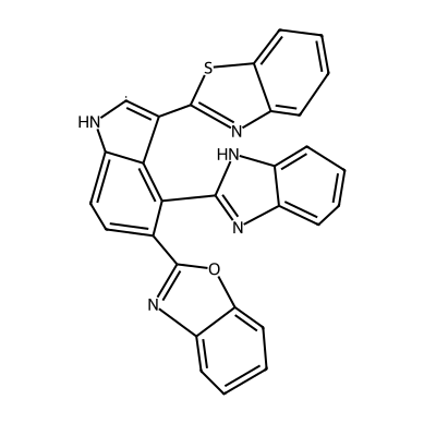 [c]1[nH]c2ccc(-c3nc4ccccc4o3)c(-c3nc4ccccc4[nH]3)c2c1-c1nc2ccccc2s1